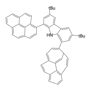 CC(C)(C)c1cc(C2=CC=c3ccc4cccc5c4c3=CC2C=C5)c2[nH]c3c(-c4ccc5ccc6cccc7ccc4c5c67)cc(C(C)(C)C)cc3c2c1